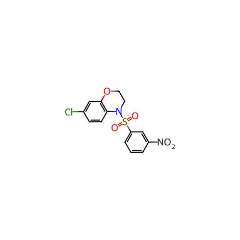 O=[N+]([O-])c1cccc(S(=O)(=O)N2CCOc3cc(Cl)ccc32)c1